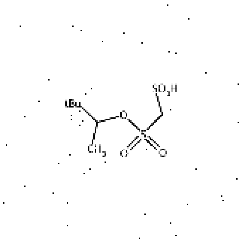 CC(OS(=O)(=O)CS(=O)(=O)O)C(C)(C)C